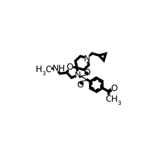 CNCC1CN(S(=O)(=O)c2ccc(C(C)=O)cc2)C2(CCN(CC3CC3)CC2)O1